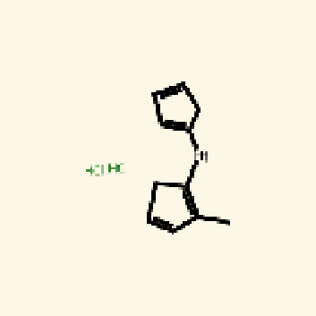 CC1=[C]([Hf][C]2=CC=CC2)CC=C1.Cl.Cl